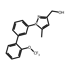 Cc1cc(CO)nn1-c1cccc(-c2ccccc2OC(F)(F)F)c1